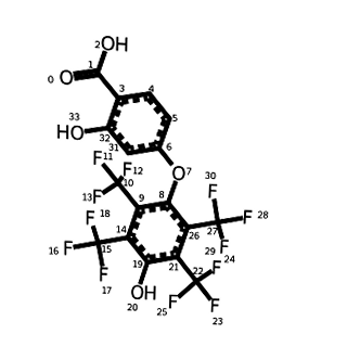 O=C(O)c1ccc(Oc2c(C(F)(F)F)c(C(F)(F)F)c(O)c(C(F)(F)F)c2C(F)(F)F)cc1O